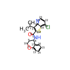 CC(C)c1c(C(=O)NC2CCOc3ccccc32)sc2c(Cl)ccnc12